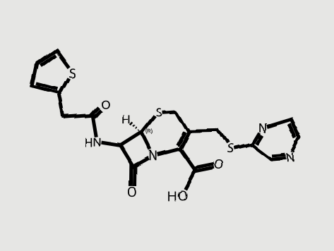 O=C(Cc1cccs1)NC1C(=O)N2C(C(=O)O)=C(CSc3cnccn3)CS[C@H]12